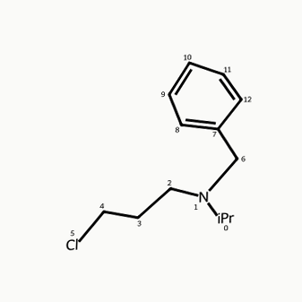 CC(C)N(CCCCl)Cc1ccccc1